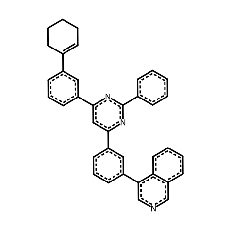 C1=C(c2cccc(-c3cc(-c4cccc(-c5cncc6ccccc56)c4)nc(-c4ccccc4)n3)c2)CCCC1